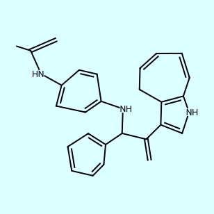 C=C(C)Nc1ccc(NC(C(=C)c2c[nH]c3c2CC=CC=C3)c2ccccc2)cc1